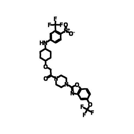 O=C(COC1CCC(Nc2ccc([N+](=O)[O-])c(C(F)(F)F)c2)CC1)N1CCN(c2nc3cc(OC(F)(F)F)ccc3o2)CC1